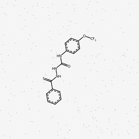 O=C(NNC(=S)c1ccccc1)Nc1ccc(OC(F)(F)F)cc1